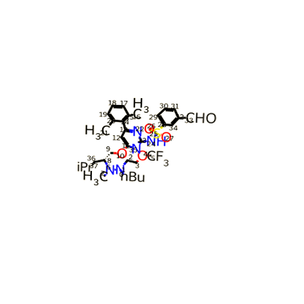 CCCCN(CCOC(F)(F)F)N(C)[C@@H](COc1cc(-c2c(C)cccc2C)nc(NS(=O)(=O)c2cccc(C=O)c2)n1)CC(C)C